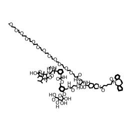 CNC(C(=O)NC(C(=O)N(C)C(/C=C(\C)C(=O)O)C(C)C)C(C)(C)C)C(C)(C)c1cccc(NC(=O)OCc2ccc(OC3OC(C(=O)O)C(O)C(O)C3O)c(CNC(=O)CCNC(=O)C(CNC(=O)CCOCCOCCOCCOCCOCCOCCOCCOCCOCCOCCOCCOC)NC(=O)C3CCC4(CC3)CCN(C(=O)CCCCC(=O)N3Cc5ccccc5/C=C\c5ccccc53)CC4)c2)c1